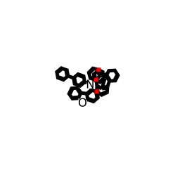 C1=CC2=C(CC1)c1c3cccc1-c1cccc2c1-c1cc(N(c2ccc(-c4ccccc4)cc2)c2cccc4oc5ccccc5c24)ccc1-3